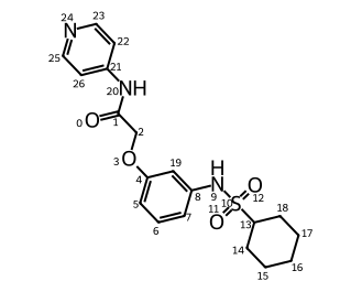 O=C(COc1cccc(NS(=O)(=O)C2CCCCC2)c1)Nc1ccncc1